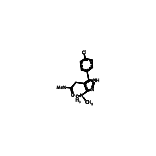 CNC(=O)Cc1c(N(C)C)n[nH]c1-c1ccc(Cl)cc1